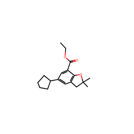 CCOC(=O)c1cc(C2CCCC2)cc2c1OC(C)(C)C2